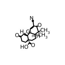 CC1(C)C(=O)C(C#N)=C[C@]2(C)C3=CC(=O)CC[C@]3(C(=O)O)CC[C@@H]12